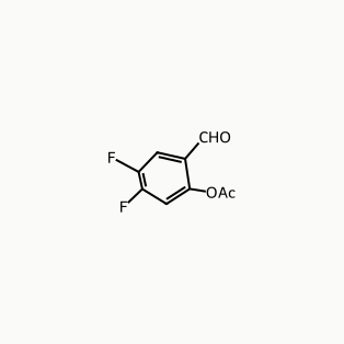 CC(=O)Oc1cc(F)c(F)cc1C=O